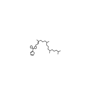 C/C(=C\COC(=O)C1=CC=CC1)CCCC(C)CCCC(C)CCCC(C)C